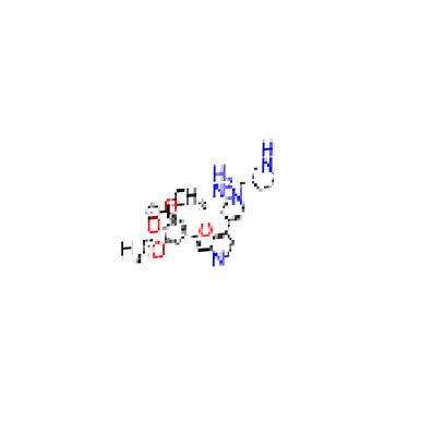 COc1cc(-c2cc3nccc(C4=CCN(C[C@@H]5CCCNC5)C(N)=C4)c3o2)cc(OC)c1OC